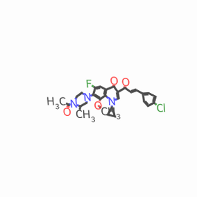 COc1c(N2CCN(C(C)=O)C(C)C2)c(F)cc2c(=O)c(C(=O)/C=C/c3ccc(Cl)cc3)cn(C3CC3)c12